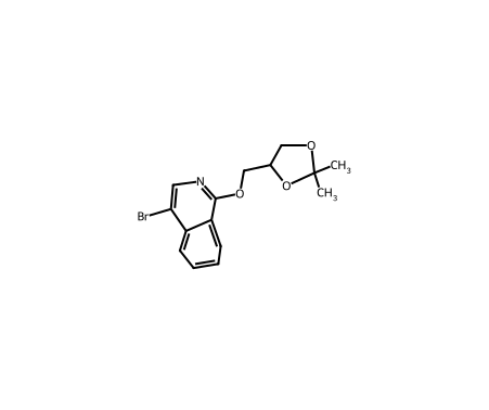 CC1(C)OCC(COc2ncc(Br)c3ccccc23)O1